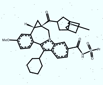 COc1ccc2c(c1)[C@@H]1C[C@]1(C(=O)C1CC34CCC3(C1)CN(C)C4)Cn1c-2c(C2CCCCC2)c2ccc(C(=O)NS(=O)(=O)C(C)C)cc21